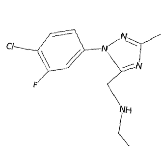 CCNCc1nc(C)nn1-c1ccc(Cl)c(F)c1